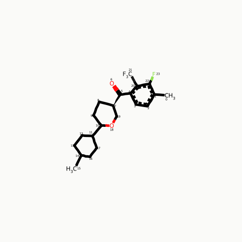 Cc1ccc(C(=O)[C@@H]2CCC(C3CCC(C)CC3)OC2)c(C(F)(F)F)c1F